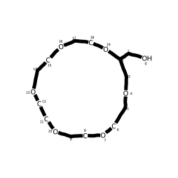 OCC1COCCOCCOCCOCCOCCO1